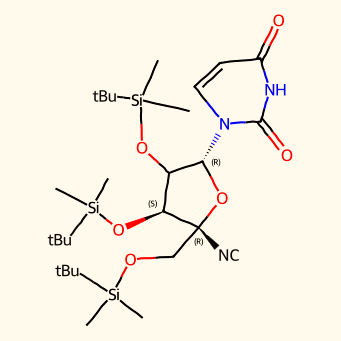 [C-]#[N+][C@]1(CO[Si](C)(C)C(C)(C)C)O[C@@H](n2ccc(=O)[nH]c2=O)C(O[Si](C)(C)C(C)(C)C)[C@@H]1O[Si](C)(C)C(C)(C)C